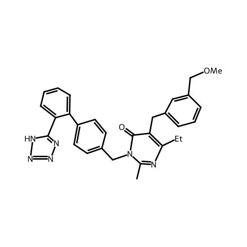 CCc1nc(C)n(Cc2ccc(-c3ccccc3-c3nnn[nH]3)cc2)c(=O)c1Cc1cccc(COC)c1